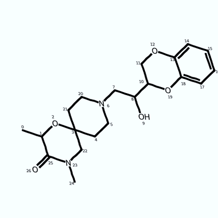 CC1OC2(CCN(CC(O)C3COc4ccccc4O3)CC2)CN(C)C1=O